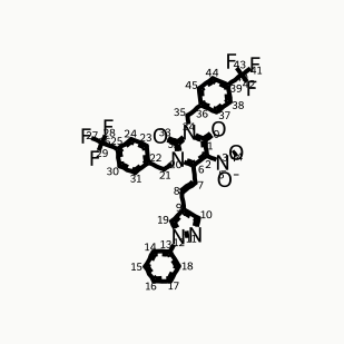 O=c1c([N+](=O)[O-])c(C=Cc2cnn(-c3ccccc3)c2)n(Cc2ccc(C(F)(F)F)cc2)c(=O)n1Cc1ccc(C(F)(F)F)cc1